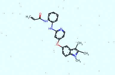 C=CC(=O)Nc1ccccc1Nc1cc(Oc2ccc3c(c2)c(C)c(C)n3C)ccn1